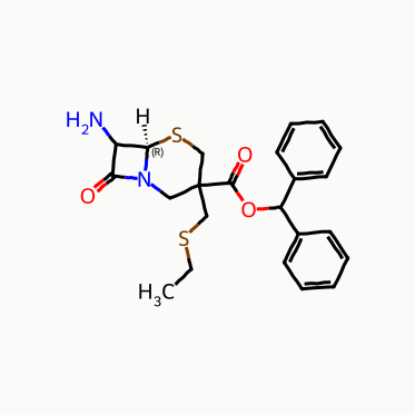 CCSCC1(C(=O)OC(c2ccccc2)c2ccccc2)CS[C@@H]2C(N)C(=O)N2C1